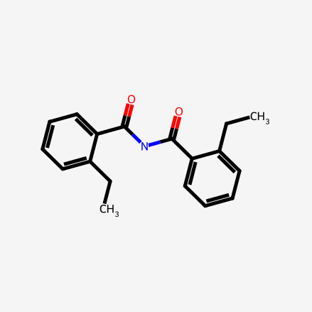 CCc1ccccc1C(=O)[N]C(=O)c1ccccc1CC